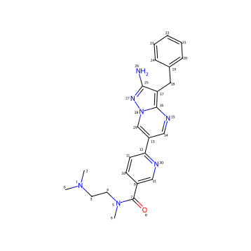 CN(C)CCN(C)C(=O)c1ccc(-c2cnc3c(Cc4ccccc4)c(N)nn3c2)nc1